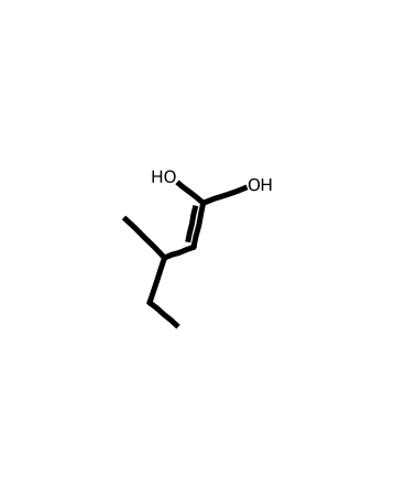 CCC(C)C=C(O)O